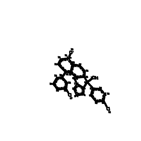 Cn1cncc1C(O)(c1ccc(Cl)nc1)c1ccc2c(c1)c(-c1cccc(Cl)c1)cc[n+]2[O-]